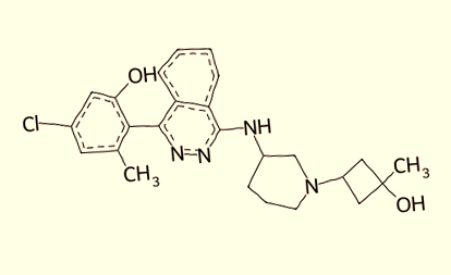 Cc1cc(Cl)cc(O)c1-c1nnc(NC2CCCN(C3CC(C)(O)C3)C2)c2ccccc12